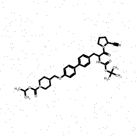 CC(C)OC(=O)N1CCC(COc2ccc(-c3ccc(CC(NC(=O)OC(C)(C)C)C(=O)N4CCCC4C#N)cc3)cc2)CC1